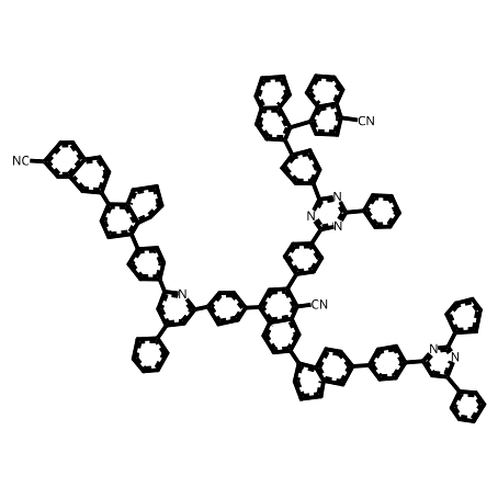 N#Cc1ccc2ccc(-c3ccc(-c4ccc(-c5cc(-c6ccccc6)cc(-c6ccc(-c7cc(-c8ccc(-c9nc(-c%10ccccc%10)nc(-c%10ccc(-c%11ccc%12ccccc%12c%11-c%11ccc(C#N)c%12ccccc%11%12)cc%10)n9)cc8)c(C#N)c8cc(-c9cccc%10cc(-c%11ccc(-c%12cc(-c%13ccccc%13)nc(-c%13ccccc%13)n%12)cc%11)ccc9%10)ccc78)cc6)n5)cc4)c4ccccc34)cc2c1